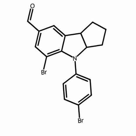 O=Cc1cc(Br)c2c(c1)C1CCCC1N2c1ccc(Br)cc1